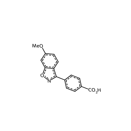 COc1ccc2c(-c3ccc(C(=O)O)cc3)noc2c1